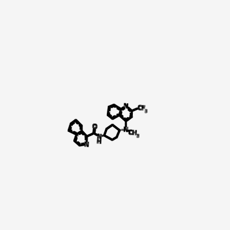 CN(c1cc(C(F)(F)F)nc2ccccc12)[C@H]1CC[C@@H](NC(=O)c2nccc3ccccc23)CC1